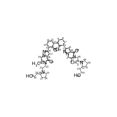 Cc1cn2nc(-c3cccc(-c4cccc(-c5cc6c(=O)n(CCN7CCCC7CCO)c(C)cn6n5)c4Cl)c3Cl)cc2c(=O)n1CCN1CCCC1CCO